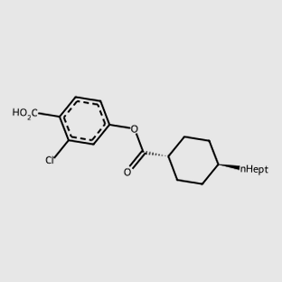 CCCCCCC[C@H]1CC[C@H](C(=O)Oc2ccc(C(=O)O)c(Cl)c2)CC1